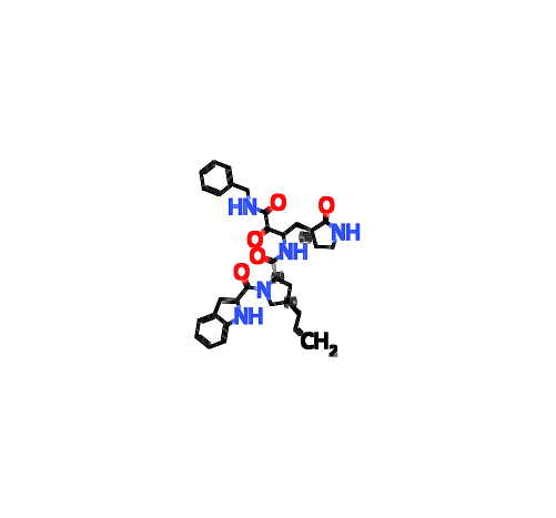 C=CC[C@@H]1C[C@@H](C(=O)NC(C[C@@H]2CCNC2=O)C(=O)C(=O)NCc2ccccc2)N(C(=O)c2cc3ccccc3[nH]2)C1